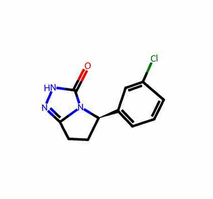 O=c1[nH]nc2n1[C@@H](c1cccc(Cl)c1)CC2